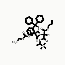 C=CCOC(=O)C(Cl)(C(=O)OC(C)[Si](C)(C)C)N1C(=O)[C@H](C(C)OC(=O)OCC(Cl)(Cl)Cl)[C@H]1SC(c1ccccc1)(c1ccccc1)c1ccccc1